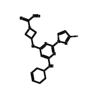 COC(=O)N1CC(Oc2cc(NC3CC=CCC3)nc(-n3ccc(C)n3)n2)C1